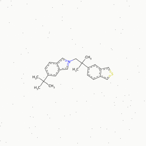 CC(C)(C)c1ccc2cn(CC(C)(C)c3ccc4cscc4c3)cc2c1